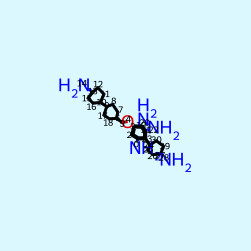 Nc1cc(OCC2CCC(C3CCC(N)CC3)CC2)c(N)c(N)c1C1CCC(N)CC1